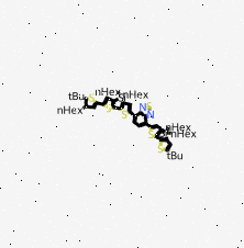 CCCCCCC1C=C(c2cc3c(s2)-c2sc(-c4ccc(-c5cc6c(s5)-c5sc(C(C)(C)C)cc5[Si]6(CCCCCC)CCCCCC)c5nsnc45)cc2[Si]3(CCCCCC)CCCCCC)SC1C(C)(C)C